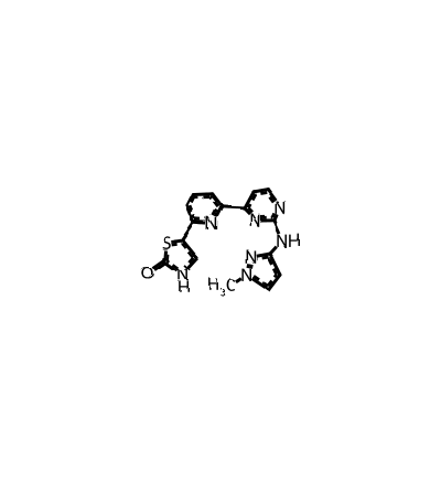 Cn1ccc(Nc2nccc(-c3cccc(-c4c[nH]c(=O)s4)n3)n2)n1